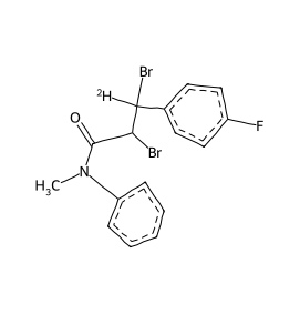 [2H]C(Br)(c1ccc(F)cc1)C(Br)C(=O)N(C)c1ccccc1